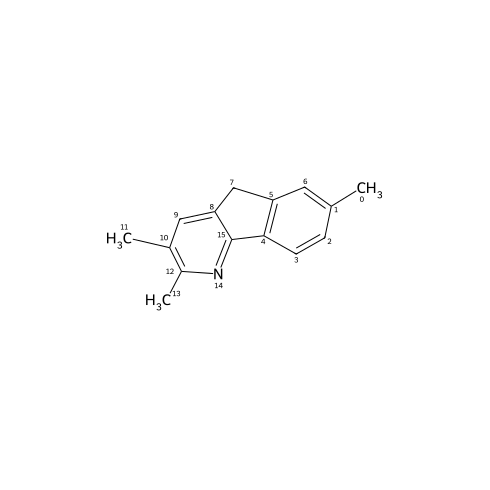 Cc1ccc2c(c1)Cc1cc(C)c(C)nc1-2